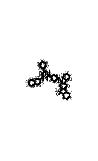 CC1(C)c2ccccc2-c2cc3c4ccccc4n(-c4ccc(-c5nc(-c6ccccc6)nc(-c6ccc7ccccc7c6)n5)cc4)c3cc21